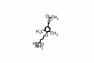 CC(=O)[N+]#Cc1cc(C)c(OCCCC(=O)NN)c(C)c1